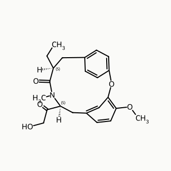 CC[C@H]1Cc2ccc(cc2)Oc2cc(ccc2OC)C[C@@H](C(=O)CO)N(C)C1=O